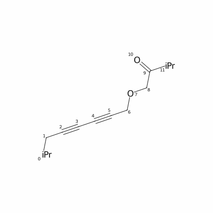 CC(C)CC#CC#CCOCC(=O)C(C)C